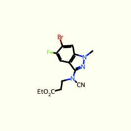 CCOC(=O)CCN(C#N)c1nn(C)c2cc(Br)c(F)cc12